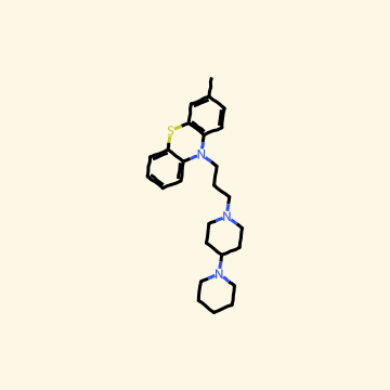 Cc1ccc2c(c1)Sc1ccccc1N2CCCN1CCC(N2CCCCC2)CC1